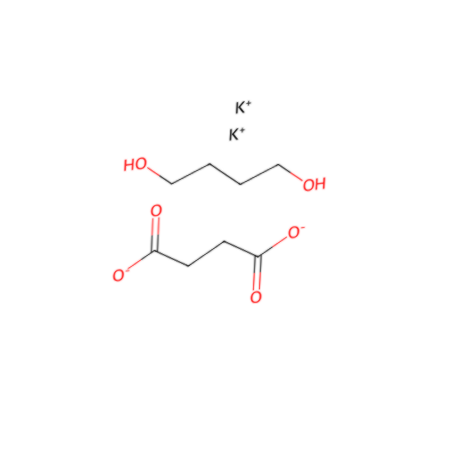 O=C([O-])CCC(=O)[O-].OCCCCO.[K+].[K+]